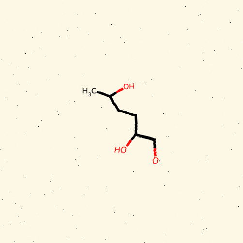 CC(O)CCC(O)C[O]